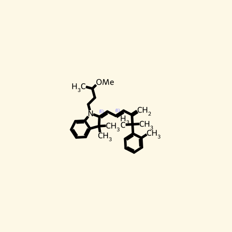 C=C(/C=C/C=C1/N(CCC(C)OC)c2ccccc2C1(C)C)C(C)(C)c1ccccc1C